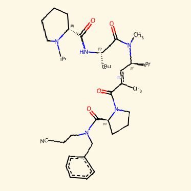 C/C(=C\[C@H](C(C)C)N(C)C(=O)[C@@H](NC(=O)[C@H]1CCCCN1C(C)C)C(C)(C)C)C(=O)N1CCC[C@H]1C(=O)N(CCC#N)Cc1ccccc1